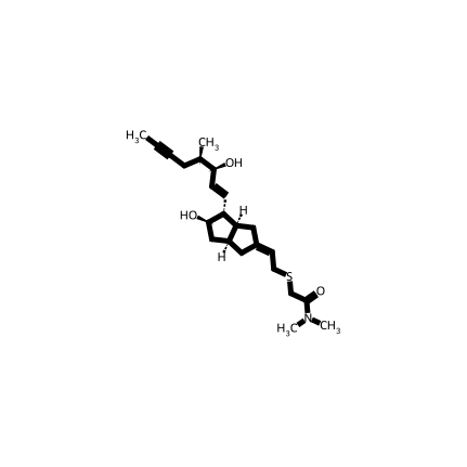 CC#CC[C@@H](C)[C@@H](O)/C=C/[C@@H]1[C@H]2CC(=CCSCC(=O)N(C)C)C[C@H]2C[C@H]1O